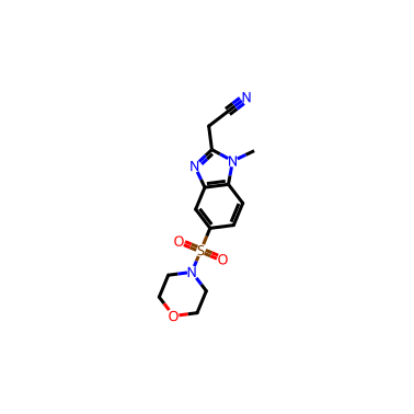 Cn1c(CC#N)nc2cc(S(=O)(=O)N3CCOCC3)ccc21